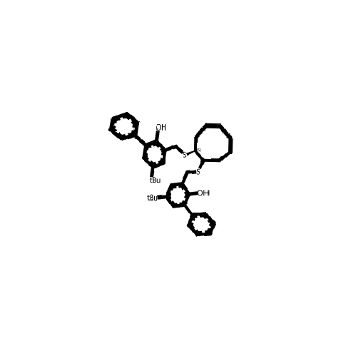 CC(C)(C)c1cc(CSC2CCCCCC[C@@H]2SCc2cc(C(C)(C)C)cc(-c3ccccc3)c2O)c(O)c(-c2ccccc2)c1